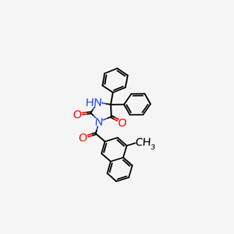 Cc1cc(C(=O)N2C(=O)NC(c3ccccc3)(c3ccccc3)C2=O)cc2ccccc12